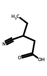 CCC(C#N)CC(=O)O